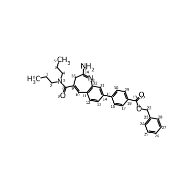 CCCN(CCC)C(=O)C1=Cc2ccc(-c3ccc(C(=O)OCc4ccccc4)cc3)cc2N=C(N)C1